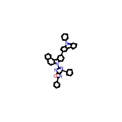 c1ccc(-c2nc3c(-c4ccccc4)nc(-n4c5ccc(-c6ccc7c(c6)c6ccccc6n7-c6ccccc6)cc5c5c6ccccc6ccc54)nc3o2)cc1